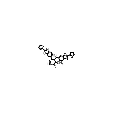 CC1C(=O)NN=C(c2ccc3nc(-c4cccs4)oc3c2)C1C(O)c1ccc2nc(-c3cccs3)oc2c1